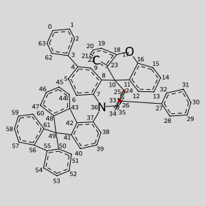 c1ccc(-c2ccc3c(c2)C2(c4ccccc4Oc4ccccc42)c2cc(-c4ccccc4)ccc2N3c2cccc3c2-c2ccccc2C32c3ccccc3-c3ccccc32)cc1